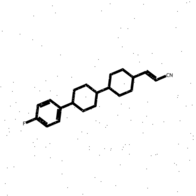 N#CC=CC1CCC(C2CCC(c3ccc(F)cc3)CC2)CC1